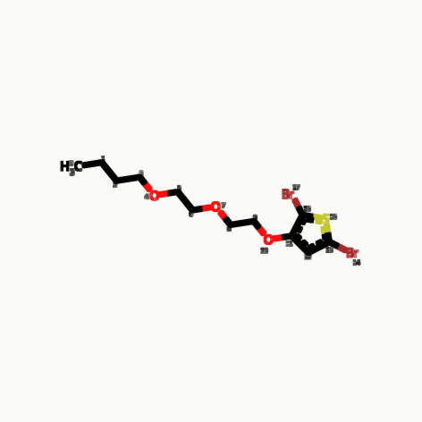 CCCCOCCOCCOc1cc(Br)sc1Br